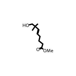 COC(=O)CCCC=CC(C)(C)CO